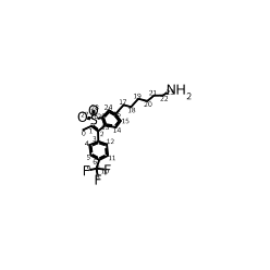 CC1=C(c2ccc(C(F)(F)F)cc2)c2ccc(CCCCCCN)cc2S1(=O)=O